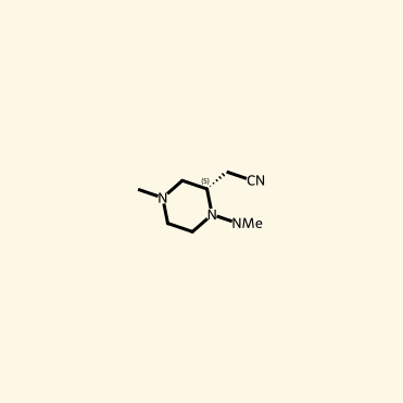 CNN1CCN(C)C[C@@H]1CC#N